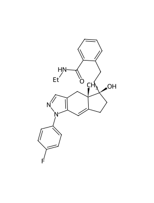 CCNC(=O)c1ccccc1CC[C@]1(O)CCC2=Cc3c(cnn3-c3ccc(F)cc3)C[C@@]21C